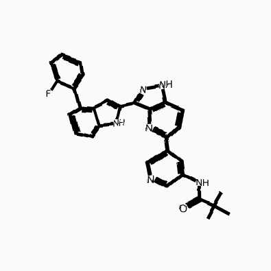 CC(C)(C)C(=O)Nc1cncc(-c2ccc3[nH]nc(-c4cc5c(-c6ccccc6F)cccc5[nH]4)c3n2)c1